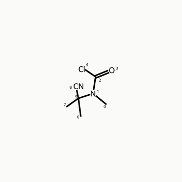 CN(C(=O)Cl)C(C)(C)C#N